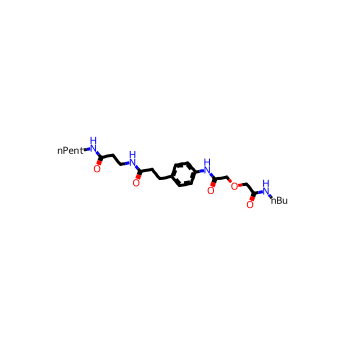 CCCCCNC(=O)CCNC(=O)CCc1ccc(NC(=O)COCC(=O)NCCCC)cc1